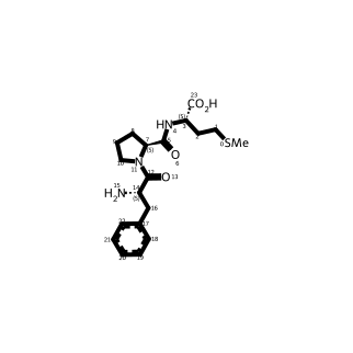 CSCC[C@H](NC(=O)[C@@H]1CCCN1C(=O)[C@@H](N)Cc1ccccc1)C(=O)O